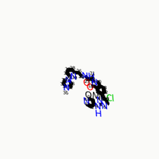 COc1cc(Nc2ncc(Cl)c(-c3ccc4c(c3)C(=O)N([C@H](C)C(=O)NCCc3cccc(N5CCN(C)CC5)n3)C4)n2)ccn1